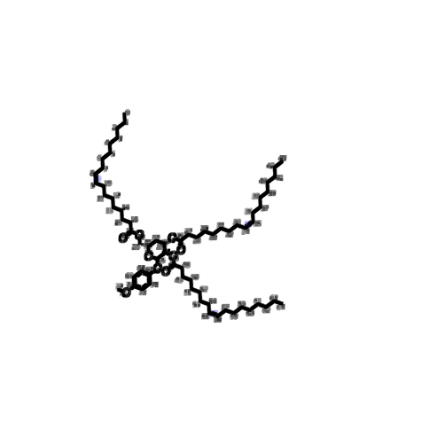 CCCCCCCC/C=C\CCCCCCCC(=O)OC[C@@H]1C[C@H](OC(=O)CCCCCCC/C=C\CCCCCCCC)[C@@H](OC(=O)CCCCCCC/C=C\CCCCCCCC)C(Oc2ccc(OC)cc2)O1